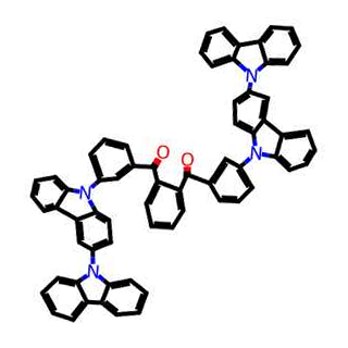 O=C(c1cccc(-n2c3ccccc3c3cc(-n4c5ccccc5c5ccccc54)ccc32)c1)c1ccccc1C(=O)c1cccc(-n2c3ccccc3c3cc(-n4c5ccccc5c5ccccc54)ccc32)c1